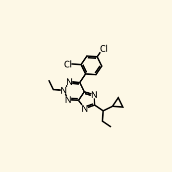 CCC(c1nc2nn(CC)nc(-c3ccc(Cl)cc3Cl)c-2n1)C1CC1